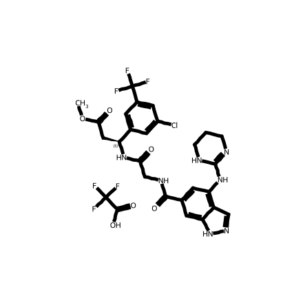 COC(=O)C[C@H](NC(=O)CNC(=O)c1cc(NC2=NCCCN2)c2cn[nH]c2c1)c1cc(Cl)cc(C(F)(F)F)c1.O=C(O)C(F)(F)F